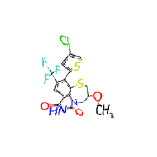 CO[C@@H]1CSc2c(-c3cc(Cl)cs3)c(C(F)(F)F)cc3c(=O)[nH]c(=O)n(c23)C1